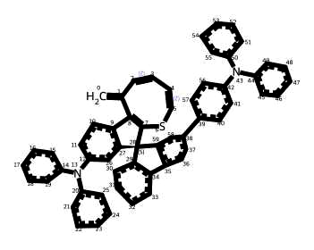 C=C1/C=C\C=C/SC2=C1c1ccc(N(c3ccccc3)c3ccccc3)cc1[C@@]21c2ccccc2-c2ccc(-c3ccc(N(c4ccccc4)c4ccccc4)cc3)cc21